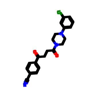 N#Cc1ccc(C(=O)CCC(=O)N2CCN(c3cccc(Cl)c3)CC2)cc1